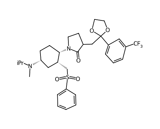 CC(C)N(C)[C@@H]1CC[C@H](N2CCC(CC3(c4cccc(C(F)(F)F)c4)OCCO3)C2=O)[C@H](CS(=O)(=O)c2ccccc2)C1